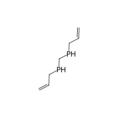 C=CCPCPCC=C